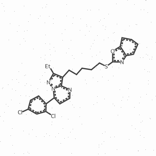 CCc1nn2c(-c3ccc(Cl)cc3Cl)ccnc2c1CCCCCSc1nc2ccccc2o1